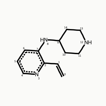 C=Cc1ncccc1NC1CCNCC1